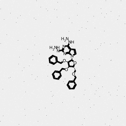 NNc1nc(NN)c2ccn([C@@H]3O[C@H](COCc4ccccc4)[C@@H](OCc4ccccc4)[C@@H]3OCc3ccccc3)c2n1